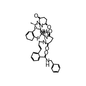 C[C@H]1N2C(=O)CCC(=O)N2[C@H](N)P1C1=C(P2C(C=Cc3ccccc3C(=O)NCc3ccccc3)N3C(=O)CCC(=O)N3[C@@H]2N)CCC=C1